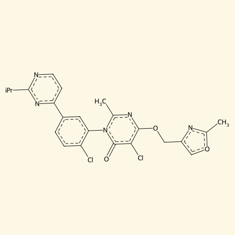 Cc1nc(COc2nc(C)n(-c3cc(-c4ccnc(C(C)C)n4)ccc3Cl)c(=O)c2Cl)co1